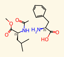 COC(=O)[C@H](CC(C)C)NC(C)=O.N[C@@H](Cc1ccccc1)C(=O)O